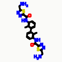 Cc1c(NC(=O)c2nnc(CN)s2)cccc1-c1cccc(NC(=O)c2nnc(CN)s2)c1C